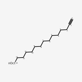 [C]#CCCCCCCCCCCCCCCCCCCCC